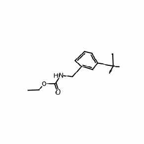 CCOC(=O)NCc1cccc(C(C)(C)C)c1